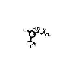 CC(c1cc(Cl)cc([C@@H](N)CC(=O)O)c1)C(F)(F)F